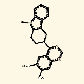 COc1cc2ncnc(N3CCc4c(c5ccccc5n4C)C3)c2cc1OC